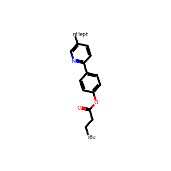 CCCCCCCc1ccc(-c2ccc(OC(=O)CCC(C)CC)cc2)nc1